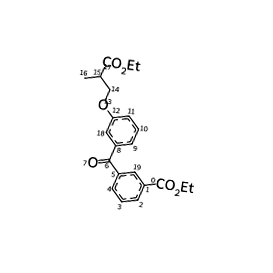 CCOC(=O)c1cccc(C(=O)c2cccc(OCC(C)C(=O)OCC)c2)c1